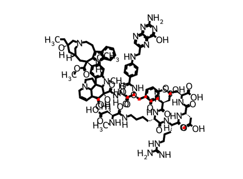 CC[C@]1(O)C[C@@H]2CN(CCc3c([nH]c4ccccc34)[C@@](C(=O)OC)(c3cc4c(cc3OC)N(C)C3C45CCN4CC=C[C@](CC)(C45)[C@@H](O)[C@]3(O)C(=O)NNC(=O)OCc3ccc(SSC[C@H](NC(=O)[C@H](CC(=O)O)NC(=O)[C@H](CCCNC(=N)N)NC(=O)[C@H](CCCCNC(=O)[C@H](CC(=O)O)NC)NC(=O)[C@H](CC(=O)O)NC(=O)CC[C@H](NC(=O)c4ccc(NCc5cnc6nc(N)nc(O)c6n5)cc4)C(=O)O)C(=O)O)cc3)C2)C1